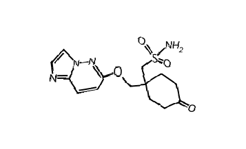 NS(=O)(=O)CC1(COc2ccc3nccn3n2)CCC(=O)CC1